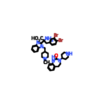 CN1CCC(Cn2c(C(N)(Cc3ccc(Br)c(Br)c3)C(=O)O)nc3ccccc32)CC1.O=C1Nc2ccccc2CCN1C1CCNCC1